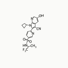 C[C@H](NS(=O)(=O)c1ccc(-c2c(C#N)c3cc(O)cnc3n2C2CCC2)nc1)C(F)(F)F